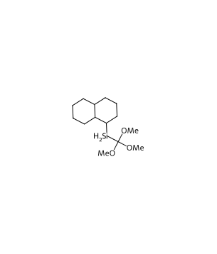 COC(OC)(OC)[SiH2]C1CCCC2CCCCC21